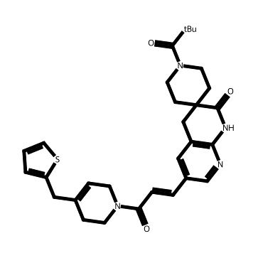 CC(C)(C)C(=O)N1CCC2(CC1)Cc1cc(C=CC(=O)N3CC=C(Cc4cccs4)CC3)cnc1NC2=O